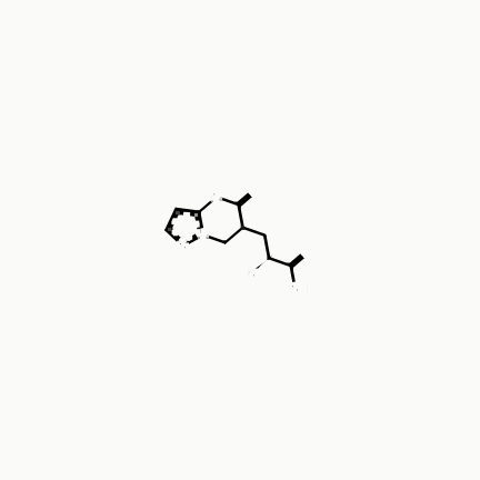 NC(=O)[C@@H](N)CC1Cn2nccc2NC1=O